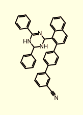 N#Cc1cccc(-c2ccc(-c3ccc4ccccc4c3C3N=C(c4ccccc4)NC(c4ccccc4)N3)cc2)c1